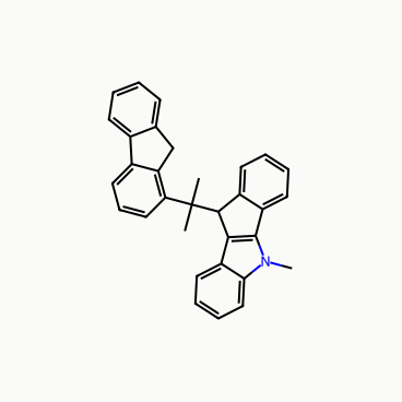 Cn1c2c(c3ccccc31)C(C(C)(C)c1cccc3c1Cc1ccccc1-3)c1ccccc1-2